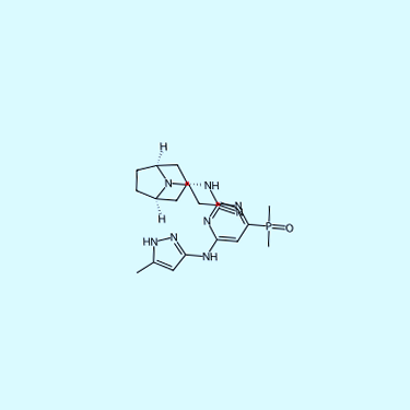 Cc1cc(Nc2cc(P(C)(C)=O)nc(N[C@@H]3C[C@H]4CC[C@@H](C3)N4CCC#N)n2)n[nH]1